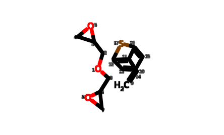 C(OCC1CO1)C1CO1.C=Cc1c2cccc1S2